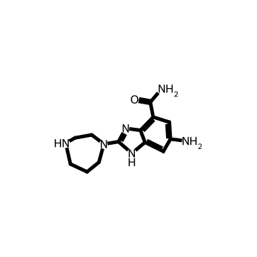 NC(=O)c1cc(N)cc2[nH]c(N3CCCNCC3)nc12